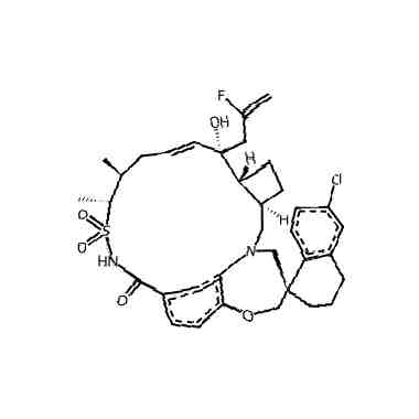 C=C(F)C[C@]1(O)/C=C/C[C@H](C)[C@@H](C)S(=O)(=O)NC(=O)c2ccc3c(c2)N(C[C@@H]2CC[C@H]21)C[C@@]1(CCCc2cc(Cl)ccc21)CO3